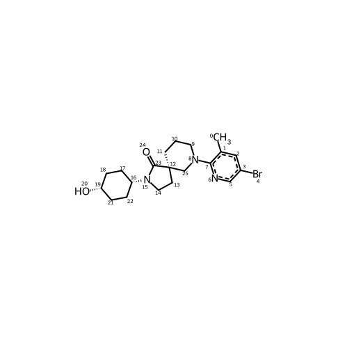 Cc1cc(Br)cnc1N1CCC[C@@]2(CCN([C@H]3CC[C@@H](O)CC3)C2=O)C1